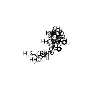 CCCCC(C)(CC)C(O)C(CO)CC(=O)NCC(=O)O[C@H](Cc1ccccc1)C(=O)O[C@H]1C[C@@]2(O)[C@@H](OC(=O)c3ccccc3)[C@@H]3[C@]4(OC(C)=O)CO[C@@H]4C[C@H](OC)[C@@]3(C)C(=O)[C@H](OC)C(=C1C)C2(C)C